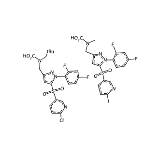 CC(C)(C)CN(Cc1cc(S(=O)(=O)c2ccc(Cl)nc2)n(-c2ccc(F)cc2F)n1)C(=O)O.Cc1ccc(S(=O)(=O)c2cc(CN(C)C(=O)O)nn2-c2ccc(F)cc2F)cn1